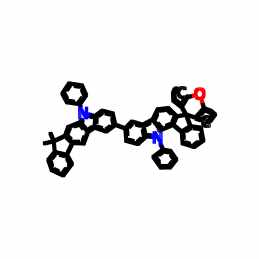 CC1(C)c2ccccc2-c2cc3c4cc(-c5ccc6c(c5)c5ccc7c(c5n6-c5ccccc5)-c5ccccc5C75c6ccccc6Oc6ccccc65)ccc4n(-c4ccccc4)c3cc21